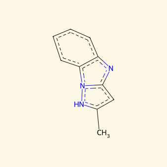 Cc1cc2nc3ccccc3n2[nH]1